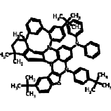 CC(C)(C)c1ccc(N2c3cc(N(c4ccccc4)c4ccccc4)cc4c3B(c3cc5c6cc3N4c3ccc(C(C)(C)C)cc3-c3cccc(c3)C6(C)CCC5(C)C)c3c2sc2ccc(C(C)(C)C)cc32)cc1